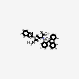 NC1=NC(/C(=N/OC(c2ccccc2)(c2ccccc2)c2ccccc2)C(O)=S)=C[SH]1c1nc2ccccc2s1